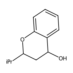 CC(C)C1CC(O)c2ccccc2O1